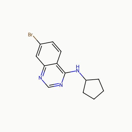 Brc1ccc2c(NC3CCCC3)ncnc2c1